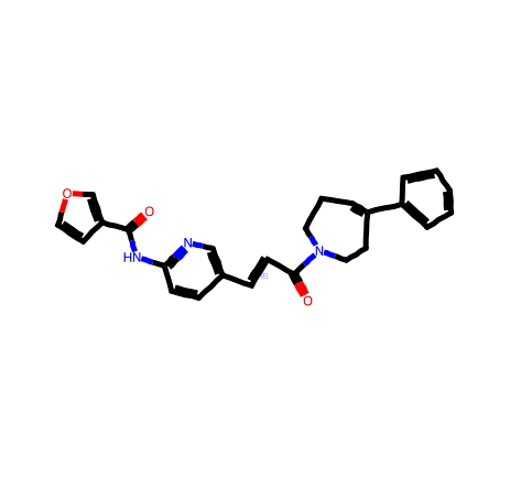 O=C(Nc1ccc(/C=C/C(=O)N2CCC=C(c3ccccc3)CC2)cn1)c1ccoc1